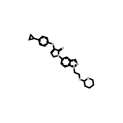 O=C1C(Oc2ccc(C3CC3)cc2)=CCN1c1ccc2c(cnn2CCOC2CCCCO2)c1